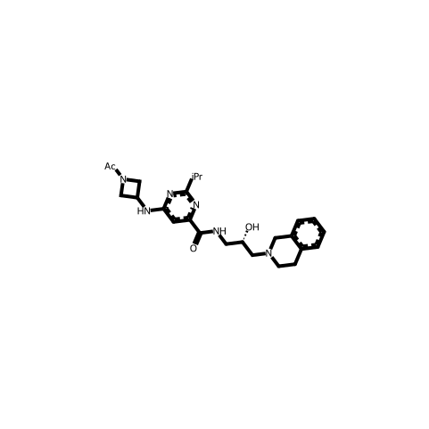 CC(=O)N1CC(Nc2cc(C(=O)NC[C@H](O)CN3CCc4ccccc4C3)nc(C(C)C)n2)C1